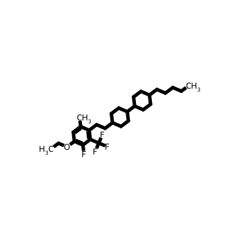 CCCCCC1CCC(C2CCC(CCc3c(C)cc(OCC)c(F)c3C(F)(F)F)CC2)CC1